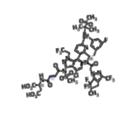 C[C@@H]1Cc2c(C(F)(F)F)nn(CC(=O)N[C@@H](Cc3cc(F)cc(F)c3)c3nc(C#CC(C)(C)S(C)(=O)=O)ccc3-c3ccc(Cl)c4c(N(C(=O)/C=C/C(=O)N[C@@H](CC(=O)O)C(=O)O)S(C)(=O)=O)nn(CC(F)(F)F)c34)c2C1(F)F